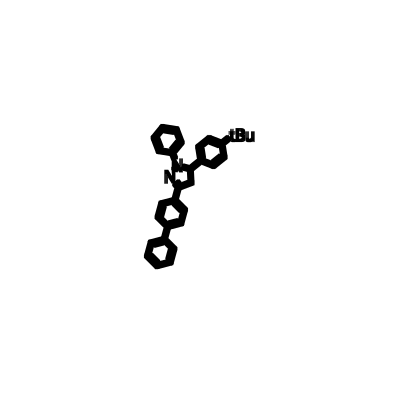 CC(C)(C)c1ccc(C2CC(c3ccc(-c4ccccc4)cc3)=NN2c2ccccc2)cc1